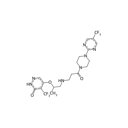 CC(CNCCC(=O)N1CCN(c2ncc(C(F)(F)F)cn2)CC1)Oc1cn[nH]c(=O)c1C(F)(F)F